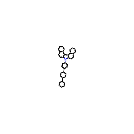 c1ccc(-c2ccc(-c3ccc(-n4c5ccc6ccccc6c5c5c6ccccc6ccc54)cc3)cc2)cc1